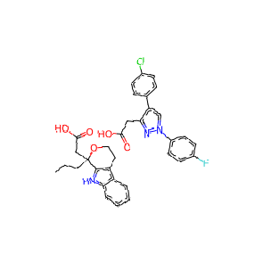 CCCC1(CC(=O)O)OCCc2c1[nH]c1ccccc21.O=C(O)Cc1nn(-c2ccc(F)cc2)cc1-c1ccc(Cl)cc1